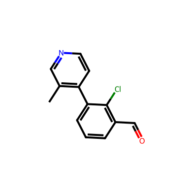 Cc1cnccc1-c1cccc(C=O)c1Cl